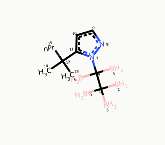 BC(B)(B)C(B)(B)n1nccc1C(C)(C)CCC